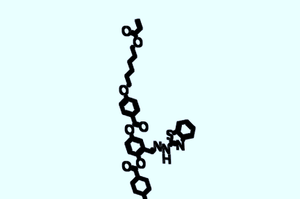 C=CC(=O)OCCCCCCOc1ccc(C(=O)Oc2ccc(OC(=O)C3CCC(C)CC3)c(C=NNc3nc4ccccc4s3)c2)cc1